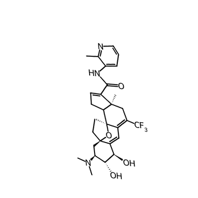 Cc1ncccc1NC(=O)C1=CCC2[C@]1(C)CC(C(F)(F)F)=C1C=C3[C@@H](O)[C@H](O)[C@@H](N(C)C)C[C@]34CC[C@@]12O4